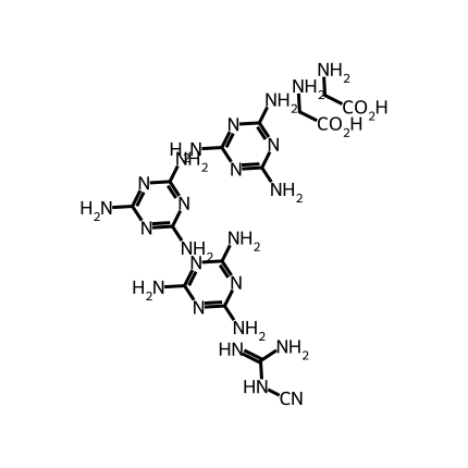 N#CNC(=N)N.NCC(=O)O.NCC(=O)O.Nc1nc(N)nc(N)n1.Nc1nc(N)nc(N)n1.Nc1nc(N)nc(N)n1